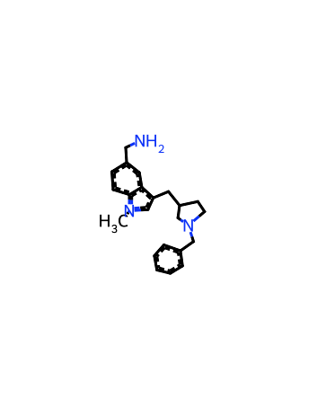 Cn1cc(CC2CCN(Cc3ccccc3)C2)c2cc(CN)ccc21